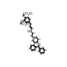 CCOC(=O)Oc1ccc(CC=CNCCN2CCC(OC(c3ccccc3)c3ccccc3)CC2)cc1OC(=O)OCC